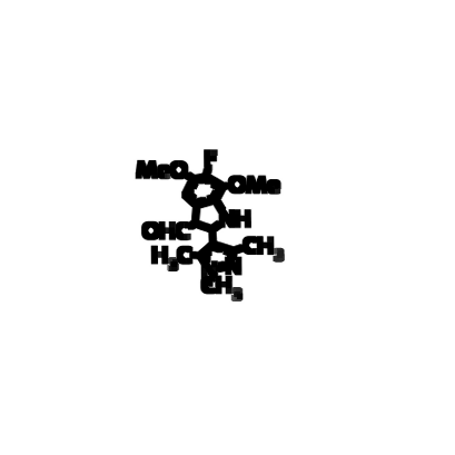 COc1cc2c(c(OC)c1F)NC(c1c(C)nn(C)c1C)C2C=O